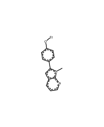 CCOc1ccc(-c2cc3cccnc3n2C)cc1